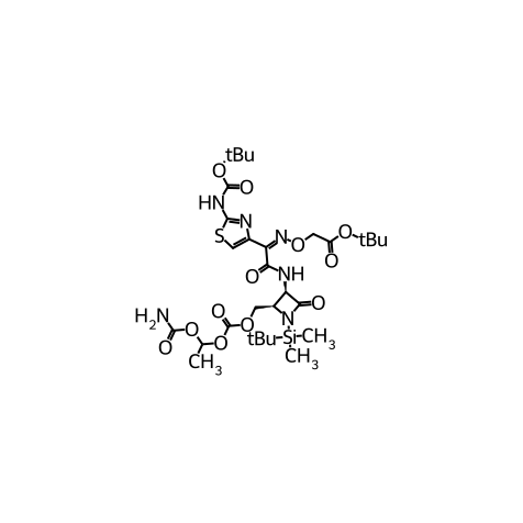 CC(OC(N)=O)OC(=O)OC[C@H]1[C@@H](NC(=O)/C(=N\OCC(=O)OC(C)(C)C)c2csc(NC(=O)OC(C)(C)C)n2)C(=O)N1[Si](C)(C)C(C)(C)C